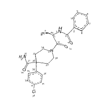 CC(C)[C@@H](NC(=O)c1ccccc1)C(=O)N1CCC(C(N)=O)(c2ccc(Cl)cc2)CC1